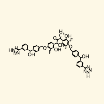 CC(C(=O)C(C)c1ccc(OCc2ccc(C(O)c3cccc(-c4nn[nH]n4)c3)cc2)c(F)c1O)c1ccc(OCc2ccc(C(O)c3cccc(-c4nn[nH]n4)c3)cc2)c(F)c1O